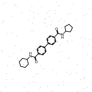 O=C(NC1CCCCC1)c1ccc(-c2ccc(C(=O)NC3CCCC3)cc2)cc1